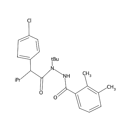 Cc1cccc(C(=O)NN(C(=O)C(c2ccc(Cl)cc2)C(C)C)C(C)(C)C)c1C